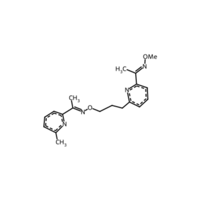 CO/N=C(\C)c1cccc(CCCO/N=C(\C)c2cccc(C)n2)n1